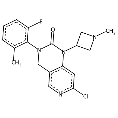 Cc1cccc(F)c1N1Cc2cnc(Cl)cc2N(C2CN(C)C2)C1=O